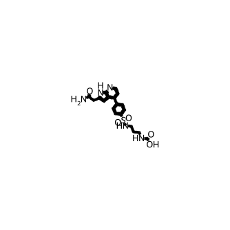 NC(=O)Cc1cc2c(-c3ccc(S(=O)(=O)NCCCNC(=O)O)cc3)ccnc2[nH]1